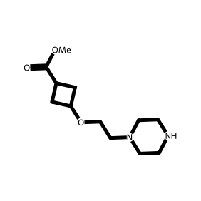 COC(=O)C1CC(OCCN2CCNCC2)C1